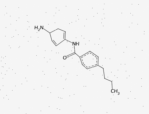 CCCCc1ccc(C(=O)NC2=CCC(N)C=C2)cc1